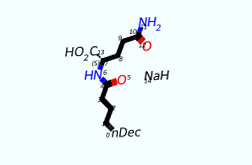 CCCCCCCCCCCCCC(=O)N[C@@H](CCC(N)=O)C(=O)O.[NaH]